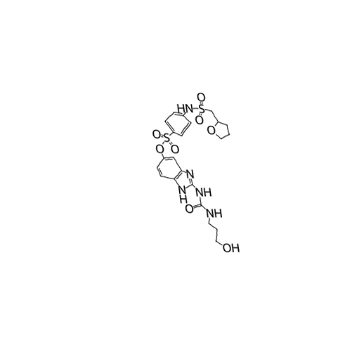 O=C(NCCCO)Nc1nc2cc(OS(=O)(=O)c3ccc(NS(=O)(=O)CC4CCCO4)cc3)ccc2[nH]1